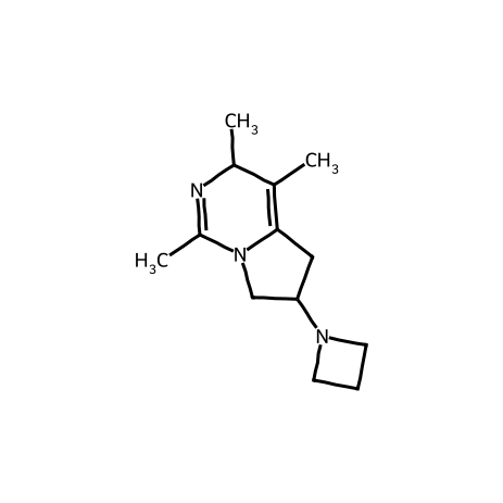 CC1=NC(C)C(C)=C2CC(N3CCC3)CN12